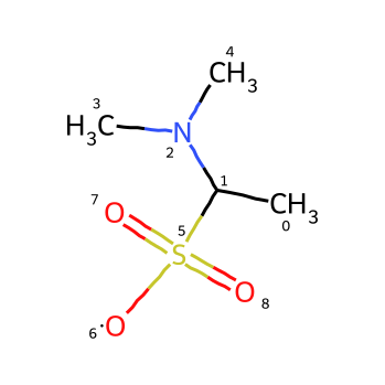 CC(N(C)C)S([O])(=O)=O